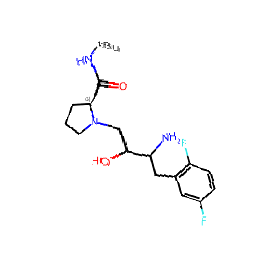 CC(C)(C)NC(=O)[C@@H]1CCCN1CC(O)C(N)Cc1cc(F)ccc1F